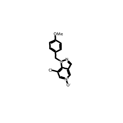 COc1ccc(Cn2ncc3c[n+]([O-])cc(Cl)c32)cc1